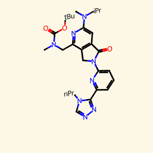 CCCn1cnnc1-c1cccc(N2Cc3c(cc(N(C)C(C)C)nc3CN(C)C(=O)OC(C)(C)C)C2=O)n1